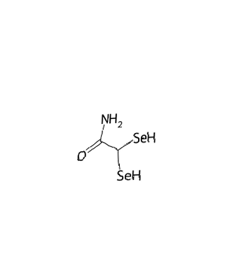 NC(=O)C([SeH])[SeH]